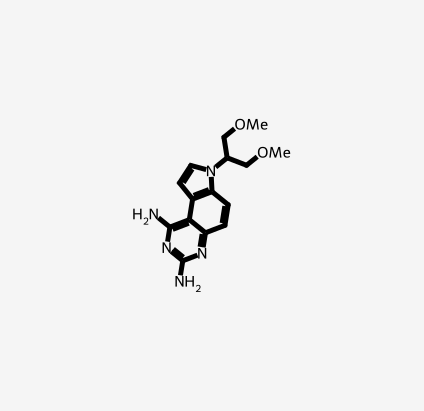 COCC(COC)n1ccc2c3c(N)nc(N)nc3ccc21